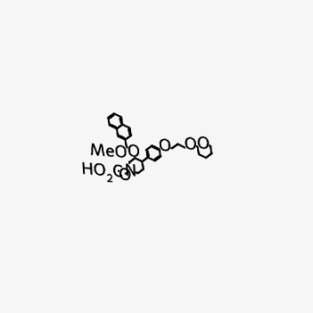 COC(OC1CN(OC(=O)O)CCC1c1ccc(OCCCOC2CCCCO2)cc1)c1ccc2ccccc2c1